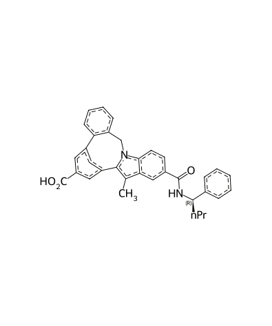 CCC[C@@H](NC(=O)c1ccc2c(c1)c(C)c1n2Cc2ccccc2-c2cc(C(=O)O)cc-1c2)c1ccccc1